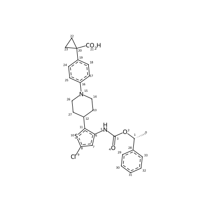 C[C@@H](OC(=O)Nc1cc(Cl)sc1C1CCN(c2ccc(C3(C(=O)O)CC3)cc2)CC1)c1ccccc1